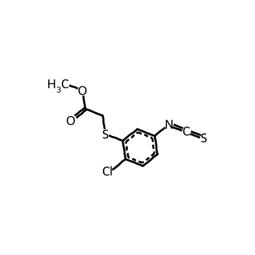 COC(=O)CSc1cc(N=C=S)ccc1Cl